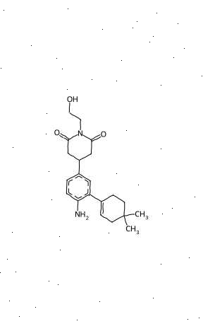 CC1(C)CC=C(c2cc(C3CC(=O)N(CCO)C(=O)C3)ccc2N)CC1